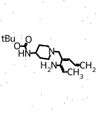 C=C/C=C(CN1CCC(NC(=O)OC(C)(C)C)CC1)\C(N)=C/C